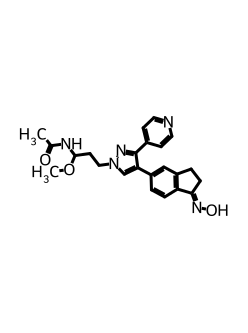 COC(CCn1cc(-c2ccc3c(c2)CCC3=NO)c(-c2ccncc2)n1)NC(C)=O